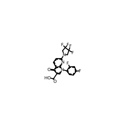 O=C(O)c1cn(-c2ccc(F)cc2F)c2nc(N3CC(F)(F)C(F)(F)C3)ccc2c1=O